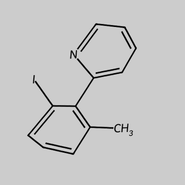 Cc1cccc(I)c1-c1ccccn1